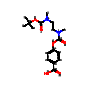 CN(CCN(C)C(=O)OC(C)(C)C)C(=O)Oc1ccc(C(=O)O)cc1